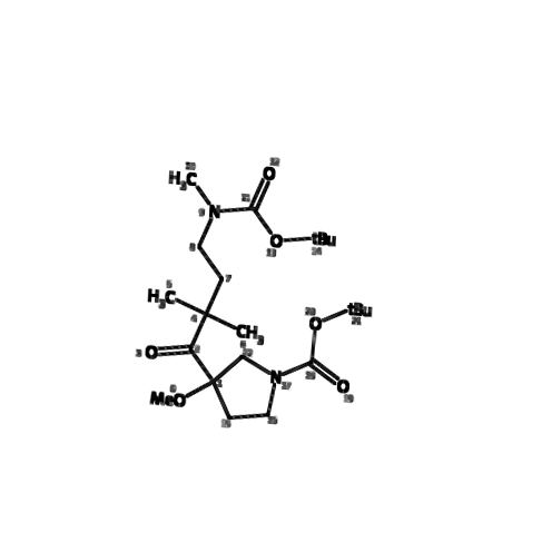 COC1(C(=O)C(C)(C)CCN(C)C(=O)OC(C)(C)C)CCN(C(=O)OC(C)(C)C)C1